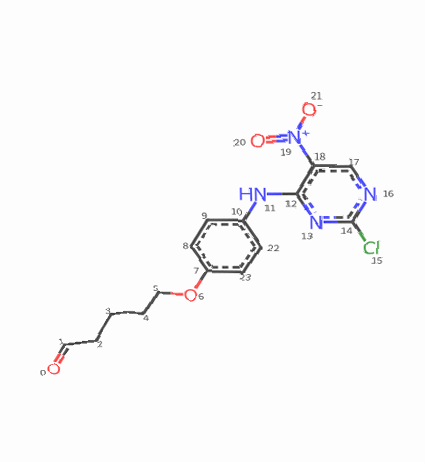 O=CCCCCOc1ccc(Nc2nc(Cl)ncc2[N+](=O)[O-])cc1